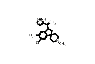 C=C(c1cnn[nH]1)C1CC2(CCN(C)CC2)c2cc(Cl)c(C)cc21